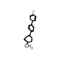 CC1CCC(c2ccc(C3C=CC(F)=CC3)cc2)CC1